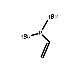 C=CP(C(C)(C)C)C(C)(C)C